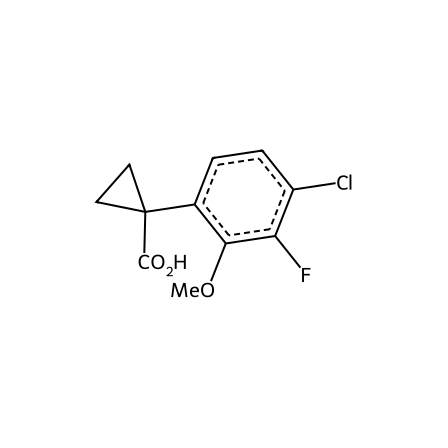 COc1c(C2(C(=O)O)CC2)ccc(Cl)c1F